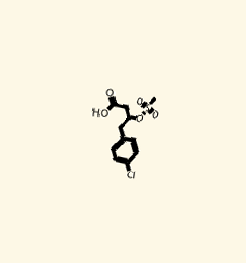 CS(=O)(=O)OC(CC(=O)O)Cc1ccc(Cl)cc1